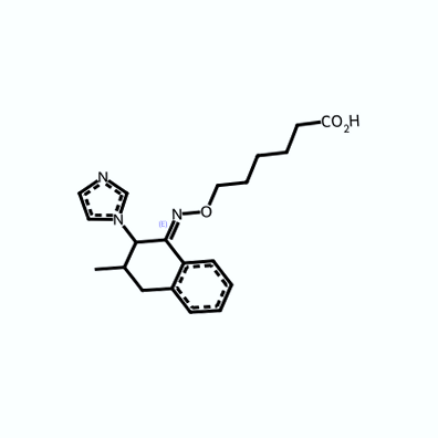 CC1Cc2ccccc2/C(=N\OCCCCCC(=O)O)C1n1ccnc1